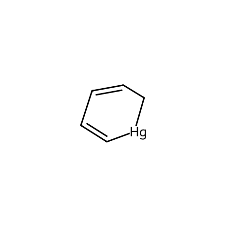 C1=C[CH2][Hg][CH]=C1